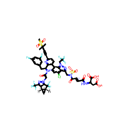 CC(C)(C#Cc1ccc(-c2ccc(Cl)c3c(CN(C(=O)/C=C/C(=O)NC(CC(=O)O)C(=O)O)[SH](=O)=O)nn(CC(F)(F)F)c23)c(C(Cc2cc(F)cc(F)c2)NC(=O)Cn2nc(C(F)(F)F)c3c2C(F)(F)[C@@H]2C[C@H]32)n1)S(C)(=O)=O